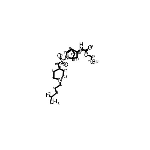 CC(F)CCCN1CCC(CS(=O)(=O)N2C=C3CC2CC3NC(=O)OCC(C)(C)C)CC1